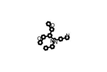 c1ccc(-c2cccc(-c3nc(-c4ccc(-c5cccnc5)cc4)cc(-c4cc(-c5ccc6oc7ccccc7c6c5)cc(-c5ccc6oc7ccccc7c6c5)c4)n3)c2)cc1